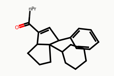 CCCC(=O)C1=CC(c2ccccc2)C2(C3CCCCC3)CCCC12